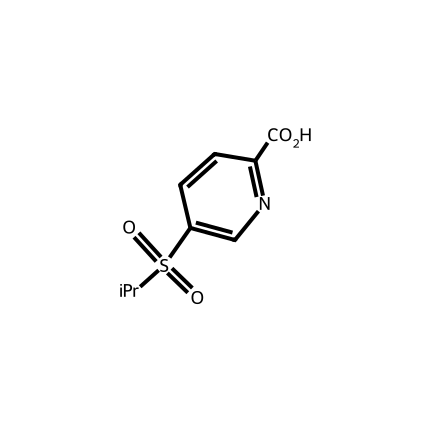 CC(C)S(=O)(=O)c1ccc(C(=O)O)nc1